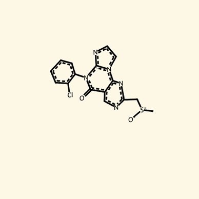 C[S+]([O-])Cc1ncc2c(=O)n(-c3ccccc3Cl)c3nccn3c2n1